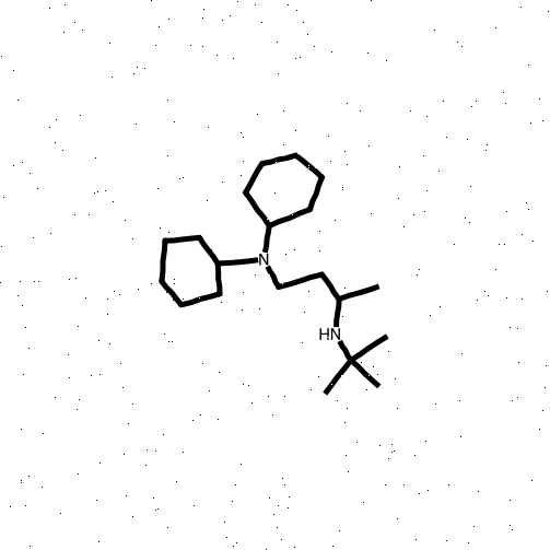 CC(CCN(C1CCCCC1)C1CCCCC1)NC(C)(C)C